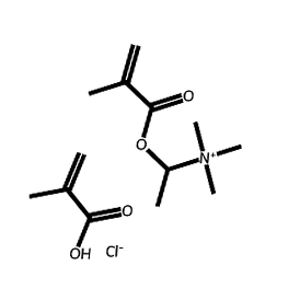 C=C(C)C(=O)O.C=C(C)C(=O)OC(C)[N+](C)(C)C.[Cl-]